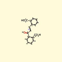 O=C(O)c1ccccc1/C=C/C(=O)c1ccccc1C(=O)O